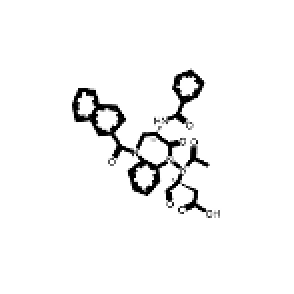 CC(=O)N([C@H](C=O)CC(=O)O)N1C(=O)[C@@H](NC(=O)c2ccccc2)CN(C(=O)c2ccc3ccccc3c2)c2ccccc21